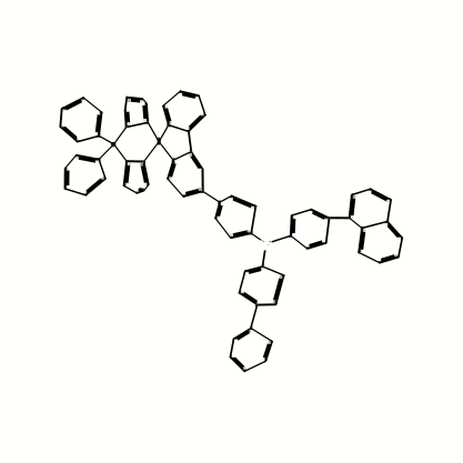 c1ccc(-c2ccc(N(c3ccc(-c4ccc5c(c4)-c4ccccc4C54c5ccccc5C(c5ccccc5)(c5ccccc5)c5ccccc54)cc3)c3ccc(-c4cccc5ccccc45)cc3)cc2)cc1